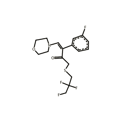 O=C(CSCC(F)(F)CF)C(=CN1CCOCC1)c1cccc(F)c1